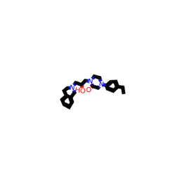 CCc1ccc(N2CCN(CC(O)CN3CCc4ccccc4C3)C(=O)C2)cc1